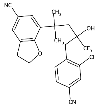 CC(C)(CC(O)(Cc1ccc(C#N)cc1Cl)C(F)(F)F)c1cc(C#N)cc2c1OCC2